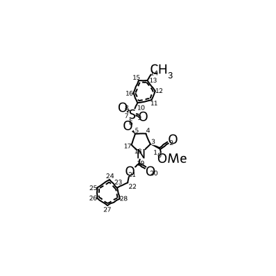 COC(=O)[C@@H]1C[C@H](OS(=O)(=O)c2ccc(C)cc2)CN1C(=O)OCc1ccccc1